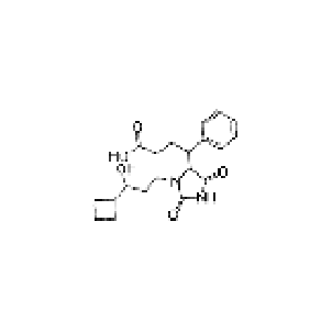 O=C(O)CCC(c1ccccc1)C1C(=O)NC(=O)N1CCC(O)C1CCC1